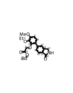 CCOc1c(OC)ccc(-c2ccc3c(c2)CNC3=O)c1OCC(=O)OC(C)CC